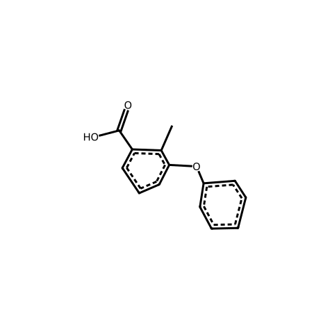 Cc1c(Oc2ccccc2)cccc1C(=O)O